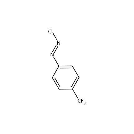 FC(F)(F)c1ccc(/N=N/Cl)cc1